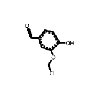 O=Cc1ccc(O)c(OCCl)c1